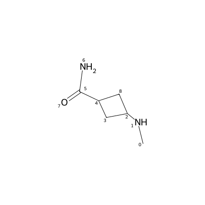 CNC1CC(C(N)=O)C1